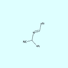 CCC/C=N/C(C#N)CCC